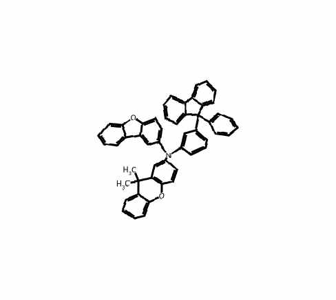 CC1(C)c2ccccc2Oc2ccc(N(c3cccc(C4(c5ccccc5)c5ccccc5-c5ccccc54)c3)c3ccc4oc5ccccc5c4c3)cc21